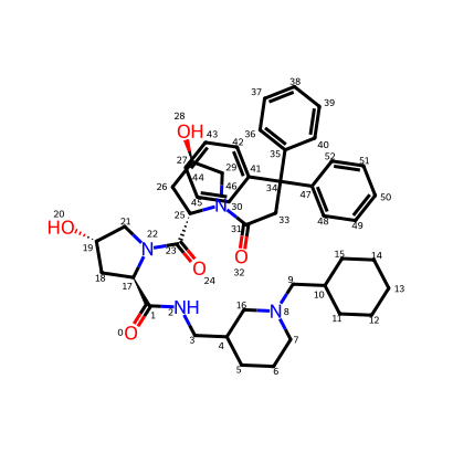 O=C(NCC1CCCN(CC2CCCCC2)C1)[C@H]1C[C@H](O)CN1C(=O)[C@@H]1C[C@@H](O)CN1C(=O)CC(c1ccccc1)(c1ccccc1)c1ccccc1